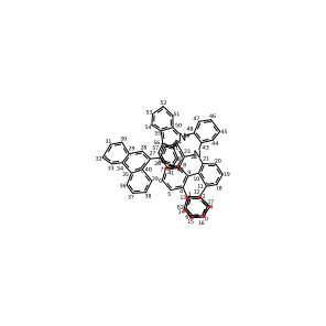 c1ccc(-c2ccccc2-c2c(-c3ccccc3)cccc2N(c2ccc(-c3cc4ccccc4c4ccccc34)cc2)c2ccccc2-n2c3ccccc3c3ccccc32)cc1